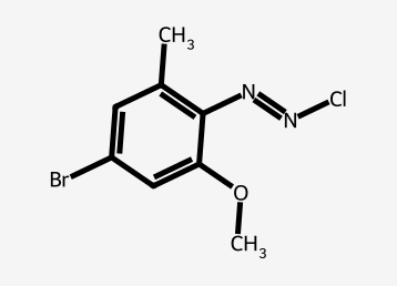 COc1cc(Br)cc(C)c1/N=N/Cl